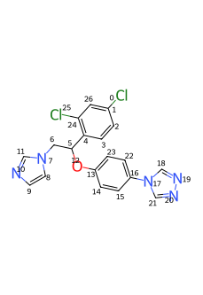 Clc1ccc(C(Cn2ccnc2)Oc2ccc(-n3cnnc3)cc2)c(Cl)c1